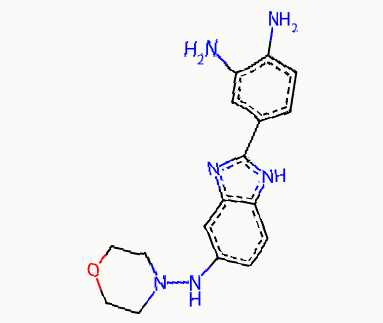 Nc1ccc(-c2nc3cc(NN4CCOCC4)ccc3[nH]2)cc1N